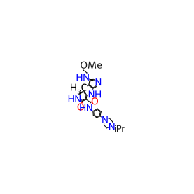 COCCNc1cncc(Nc2cc[nH]c(=O)c2C(=O)Nc2ccc(N3CCN(C(C)C)CC3)cc2)c1C